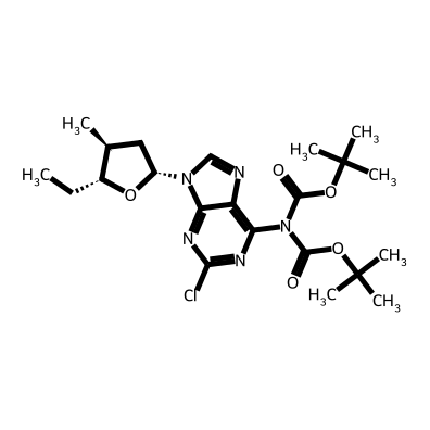 CC[C@H]1O[C@@H](n2cnc3c(N(C(=O)OC(C)(C)C)C(=O)OC(C)(C)C)nc(Cl)nc32)C[C@@H]1C